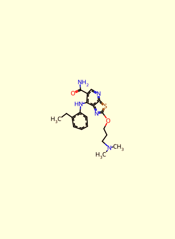 CCc1ccccc1Nc1c(C(N)=O)cnc2sc(OCCCN(C)C)nc12